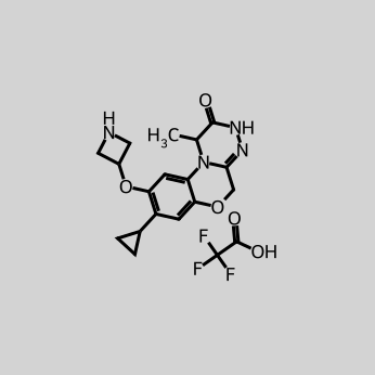 CC1C(=O)NN=C2COc3cc(C4CC4)c(OC4CNC4)cc3N21.O=C(O)C(F)(F)F